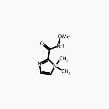 CONC(=O)C1=NC=C[N+]1(C)C